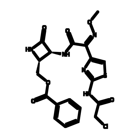 CO/N=C(\C(=O)N[C@H]1C(=O)N[C@H]1COC(=O)c1ccccc1)c1csc(NC(=O)CCl)n1